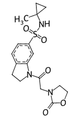 CC1(NS(=O)(=O)c2ccc3c(c2)N(C(=O)CN2CCOC2=O)CC3)CC1